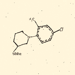 CNC1CCCN(c2ccc(Cl)cc2C)C1